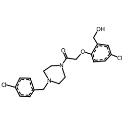 O=C(COc1ccc(Cl)cc1CO)N1CCN(Cc2ccc(Cl)cc2)CC1